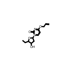 C=CCOc1ccn(C2CC(O)C(CC)O2)c(=O)n1